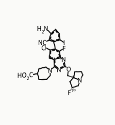 N#Cc1c(N)ccc(I)c1-c1c(Cl)cc2c(N3CCCC(C(=O)O)CC3)nc(OC[C@@]34CCCN3C[C@H](F)C4)nc2c1F